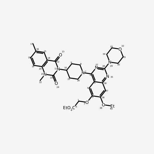 CCOC(=O)COc1cc2c(N3CCC(n4c(=O)c5cc(C)ccc5n(C)c4=O)CC3)nc(N3CCOCC3)nc2cc1OCC